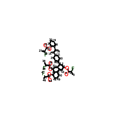 C=C(F)C(=O)Oc1cc(-c2ccc(/C(C)=C(\C)c3ccccc3OC(=O)C(=C)F)cc2)c2cc(OC(=O)C(=C)F)c3c(OC(=O)C(=C)F)cccc3c2c1